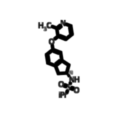 Cc1ncccc1Oc1ccc2c(c1)C[C@@H](NS(=O)(=O)C(C)C)C2